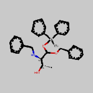 C[C@H](O)[C@@H](NCc1ccccc1)C(OCc1ccccc1)O[Si](c1ccccc1)(c1ccccc1)C(C)(C)C